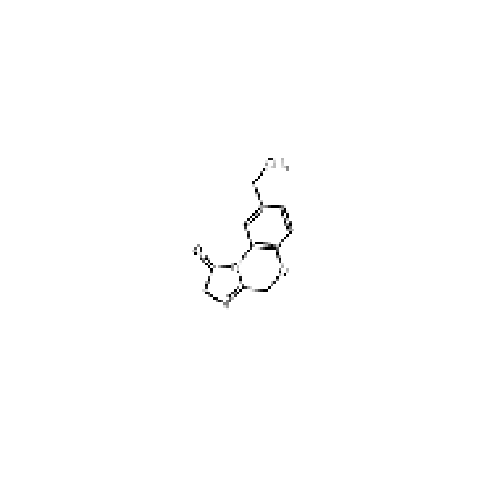 CCc1ccc2c(c1)N1C(=O)CN=C1CO2